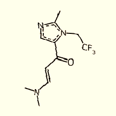 Cc1ncc(C(=O)/C=C/N(C)C)n1CC(F)(F)F